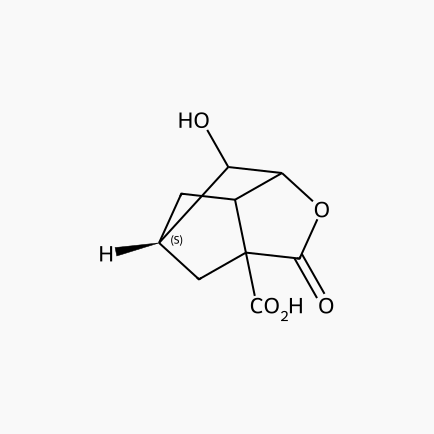 O=C(O)C12C[C@@H]3CC1C(OC2=O)C3O